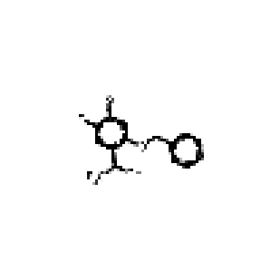 OC(c1cc(F)c(Br)cc1OCc1ccccc1)C(F)(F)F